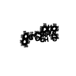 O=C(O)c1[nH]c2c(Nc3ccccc3N3CCOCC3)cccc2c1CCCOc1cccc2ccccc12